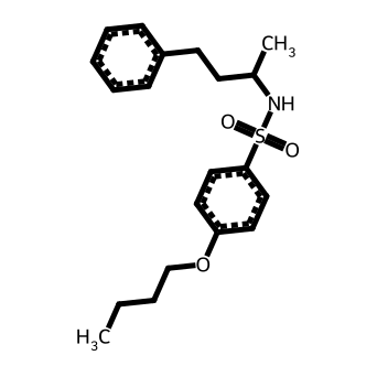 CCCCOc1ccc(S(=O)(=O)NC(C)CCc2ccccc2)cc1